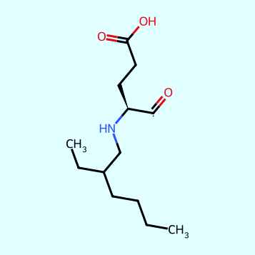 CCCCC(CC)CN[C@H]([C]=O)CCC(=O)O